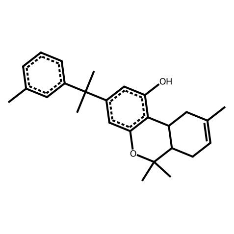 CC1=CCC2C(C1)c1c(O)cc(C(C)(C)c3cccc(C)c3)cc1OC2(C)C